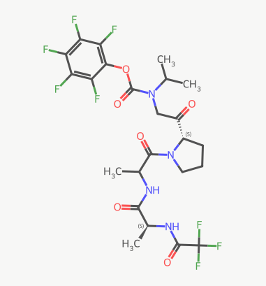 CC(NC(=O)[C@H](C)NC(=O)C(F)(F)F)C(=O)N1CCC[C@H]1C(=O)CN(C(=O)Oc1c(F)c(F)c(F)c(F)c1F)C(C)C